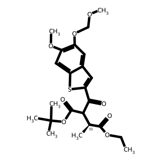 CCOC(=O)[C@@H](C)C(C(=O)OC(C)(C)C)C(=O)c1cc2cc(OCOC)c(OC)cc2s1